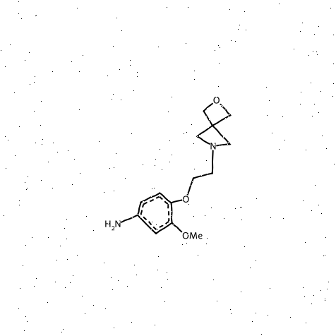 COc1cc(N)ccc1OCCN1CC2(COC2)C1